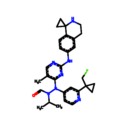 Cc1cnc(Nc2ccc3c(c2)CCNC32CC2)nc1N(c1ccnc(C2(CF)CC2)c1)N(C=O)C(C)C